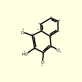 Oc1c(Cl)c(Cl)c2ccccc2c1Cl